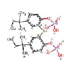 CC(C)(C)CC(C)(C)c1ccc(OP(=O)(O)O)c(Sc2cc(C(C)(C)CC(C)(C)C)ccc2OP(=O)(O)O)c1